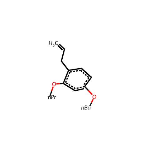 C=CCc1ccc(OCCCC)cc1OCCC